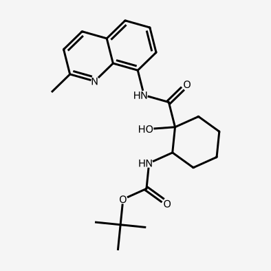 Cc1ccc2cccc(NC(=O)C3(O)CCCCC3NC(=O)OC(C)(C)C)c2n1